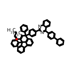 C=C/C=C\C1=C(C)C(c2ccccc2)(c2ccc(-c3nc(-c4ccc(-c5ccccc5)cc4)c4ccccc4n3)cc2)c2cccc3c2C1(c1ccccc1)c1ccccc1-3